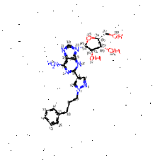 Nc1nc(-c2cnn(CCCc3ccccc3)c2)nc2c1ncn2[C@@H]1O[C@H](CO)[C@H](O)[C@H]1O